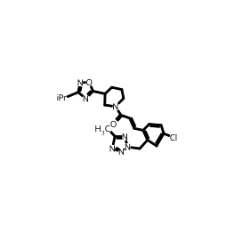 Cc1nnn(Cc2cc(Cl)ccc2C=CC(=O)N2CCCC(c3nc(C(C)C)no3)C2)n1